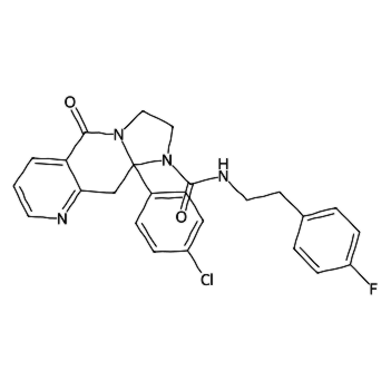 O=C(NCCc1ccc(F)cc1)N1CCN2C(=O)c3cccnc3CC12c1ccc(Cl)cc1